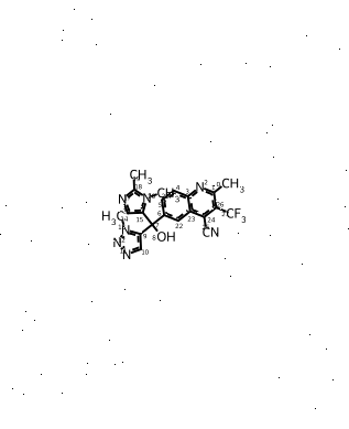 Cc1nc2ccc(C(O)(c3cnnn3C)c3cnc(C)n3C)cc2c(C#N)c1C(F)(F)F